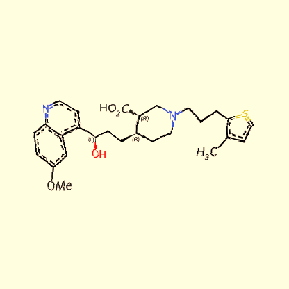 COc1ccc2nccc([C@H](O)CC[C@@H]3CCN(CCCc4sccc4C)C[C@@H]3C(=O)O)c2c1